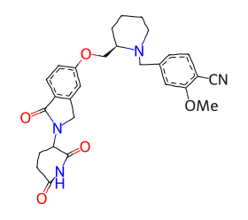 COc1cc(CN2CCCC[C@@H]2COc2ccc3c(c2)CN(C2CCC(=O)NC2=O)C3=O)ccc1C#N